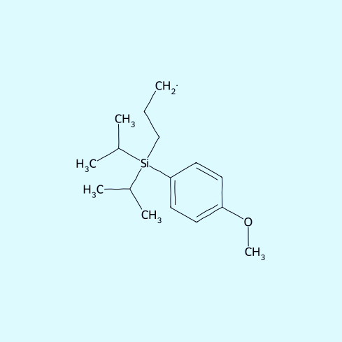 [CH2]CC[Si](c1ccc(OC)cc1)(C(C)C)C(C)C